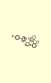 CC1(N2C(=O)C3C(c4nc(-c5ccc(F)cc5)no4)N=CN3c3cccc(Cl)c32)CCCO1